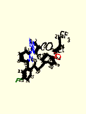 CCOC(=O)c1cnn(-c2cccc(-c3cc(F)ccc3C(C)Cc3ccc(OCCCC(F)(F)F)cc3)n2)c1C(F)(F)F